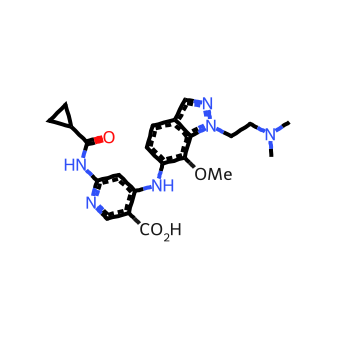 COc1c(Nc2cc(NC(=O)C3CC3)ncc2C(=O)O)ccc2cnn(CCN(C)C)c12